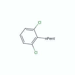 CCCCCc1c(Cl)cccc1Cl